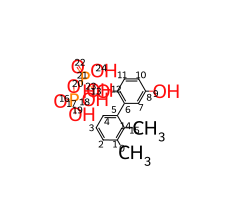 Cc1cccc(-c2cc(O)ccc2O)c1C.O=P(O)(O)OP(=O)(O)O